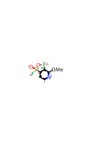 COc1nccc(S(=O)(=O)F)c1F